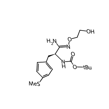 CSc1ccc(C[C@H](NC(=O)OC(C)(C)C)/C(N)=N/OCCO)cc1